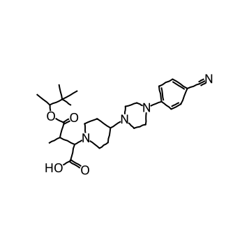 CC(C(=O)OC(C)C(C)(C)C)C(C(=O)O)N1CCC(N2CCN(c3ccc(C#N)cc3)CC2)CC1